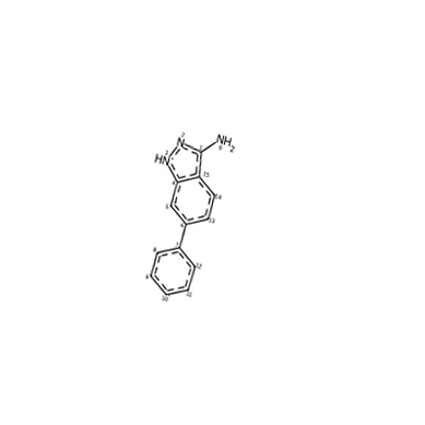 Nc1n[nH]c2cc(-c3cc[c]cc3)ccc12